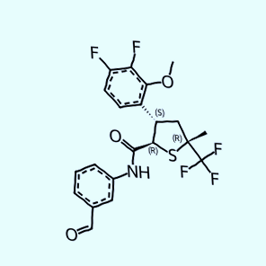 COc1c([C@@H]2C[C@](C)(C(F)(F)F)S[C@H]2C(=O)Nc2cccc(C=O)c2)ccc(F)c1F